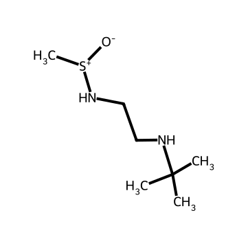 C[S+]([O-])NCCNC(C)(C)C